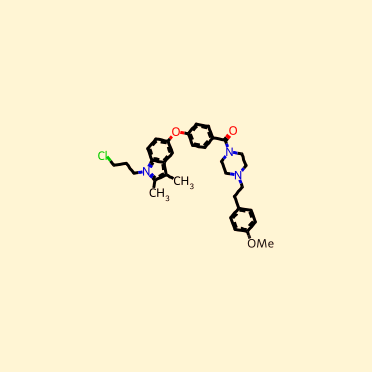 COc1ccc(CCN2CCN(C(=O)c3ccc(Oc4ccc5c(c4)c(C)c(C)n5CCCCl)cc3)CC2)cc1